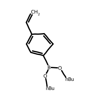 C=Cc1ccc(B(OCCCC)OCCCC)cc1